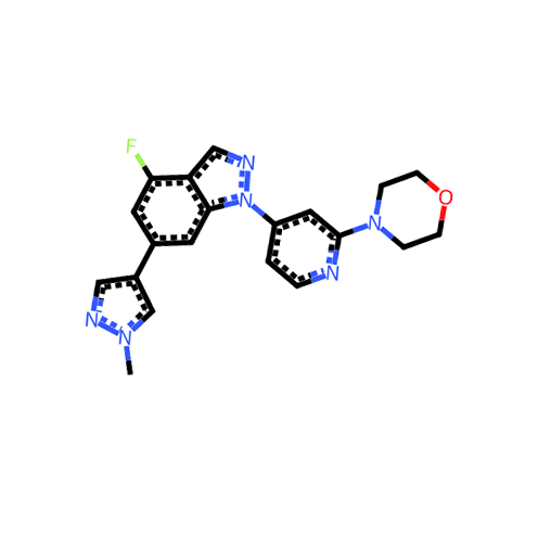 Cn1cc(-c2cc(F)c3cnn(-c4ccnc(N5CCOCC5)c4)c3c2)cn1